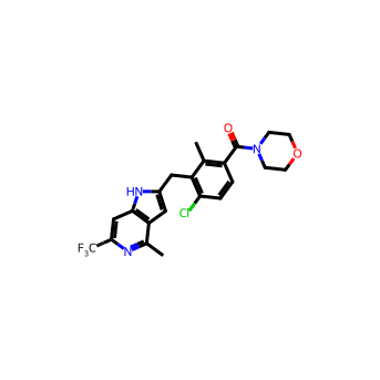 Cc1c(C(=O)N2CCOCC2)ccc(Cl)c1Cc1cc2c(C)nc(C(F)(F)F)cc2[nH]1